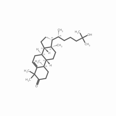 C[C@H](CCCC(C)(C)O)[C@H]1CC[C@H]2[C@@H]3CC=C4C(C)(C)C(=O)CC[C@]4(C)[C@H]3CC[C@]12C